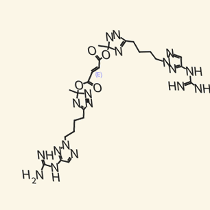 CC1(OC(=O)/C=C/C(=O)OC2(C)N=NC(CCCCn3ncc(NC(=N)N)n3)=N2)N=NC(CCCCn2ncc(NC(=N)N)n2)=N1